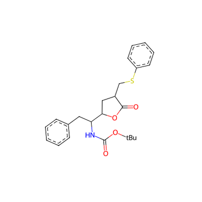 CC(C)(C)OC(=O)NC(Cc1ccccc1)C1CC(CSc2ccccc2)C(=O)O1